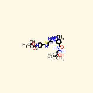 Cc1ccc(C(=O)NC(=N)/C=C(\O)C(C)(C)C)cc1N(N)/C=C(\N)c1cnc(C2CCN(C(=O)OC(C)(C)C)CC2)s1